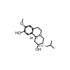 COc1cc2c(cc1O)[C@@H]1C[C@H](O)[C@@H](CC(C)C)CN1CC2